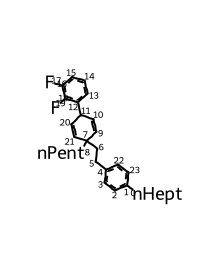 CCCCCCCc1ccc(CCC2(CCCCC)C=CC(c3cccc(F)c3F)C=C2)cc1